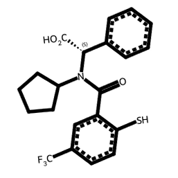 O=C(O)[C@H](c1ccccc1)N(C(=O)c1cc(C(F)(F)F)ccc1S)C1CCCC1